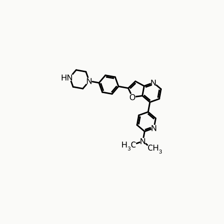 CN(C)c1ccc(-c2ccnc3cc(-c4ccc(N5CCNCC5)cc4)oc23)cn1